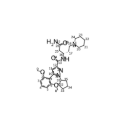 COc1cccc(OC)c1-c1cc(C(=O)N[C@@H](CCN2CCCCC2)CC(N)=O)nn1C1CCCC1